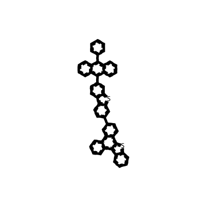 c1ccc(-c2c3ccccc3c(-c3ccc4c(c3)sc3cc(-c5ccc6c(c5)c5ccccc5c5c7ccccc7sc65)ccc34)c3ccccc23)cc1